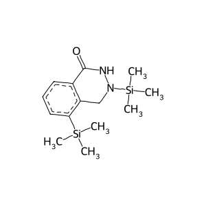 C[Si](C)(C)c1cccc2c1CN([Si](C)(C)C)NC2=O